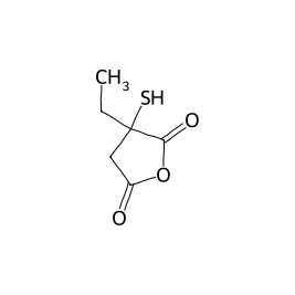 CCC1(S)CC(=O)OC1=O